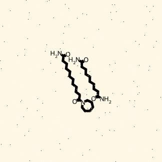 NC(=O)CCCCCCCCC(N)=O.NC(=O)CCCCCCCCCCC(=O)N1CCCCCC1